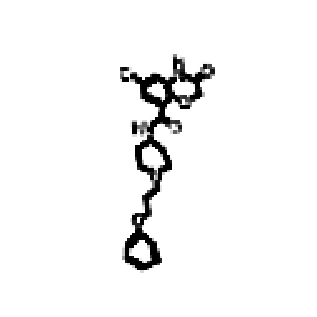 O=C1COc2c(cc(Cl)cc2C(=O)NC2CCN(CCCOc3ccccc3)CC2)N1